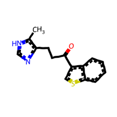 Cc1[nH]cnc1CCC(=O)c1csc2ccccc12